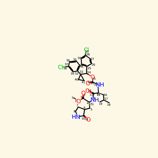 COC(=O)[C@H](CC1CCNC1=O)NC(=O)[C@H](CC(C)C)NC(=O)OC(c1ccc(Cl)cc1)C1(c2cccc(Cl)c2)CC1